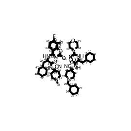 CCOC(=O)/N=C(\NC(CC1CCCCC1)C(=O)NC1(C#N)CCN(CC2CCCCC2)CC1)N1CCOCC1.CN1CCC(C#N)(NC(=O)C(CC2CCCCC2)Nc2nc(=O)oc3c(F)c(F)ccc23)CC1